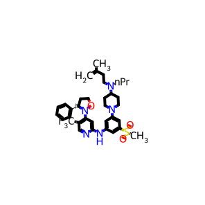 C=C(C)CCN(CCC)C1CCN(c2cc(Nc3cc(N4OCC[C@H]4c4ccccc4)c(C(F)(F)F)cn3)cc(S(C)(=O)=O)c2)CC1